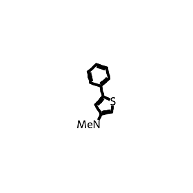 CNc1csc(-c2ccccc2)c1